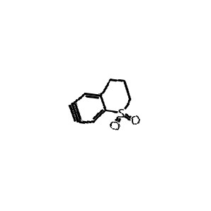 O=S1(=O)CCCc2cc#ccc21